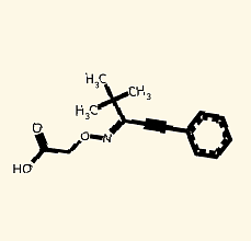 CC(C)(C)C(C#Cc1ccccc1)=NOCC(=O)O